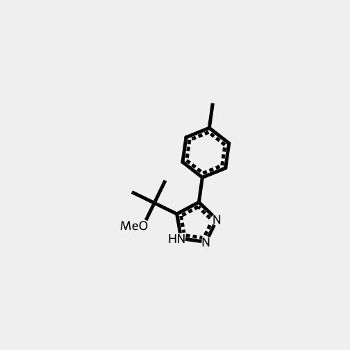 COC(C)(C)c1[nH]nnc1-c1ccc(C)cc1